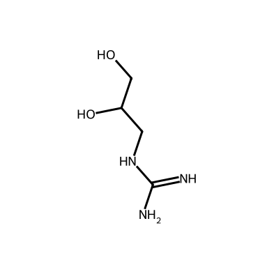 N=C(N)NCC(O)CO